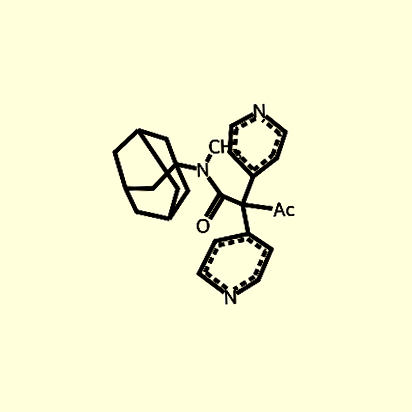 CC(=O)C(C(=O)N(C)C12CC3CC(CC(C3)C1)C2)(c1ccncc1)c1ccncc1